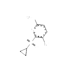 COc1ccc([N+](=O)[O-])c(S(=O)(=O)C2CC2)n1